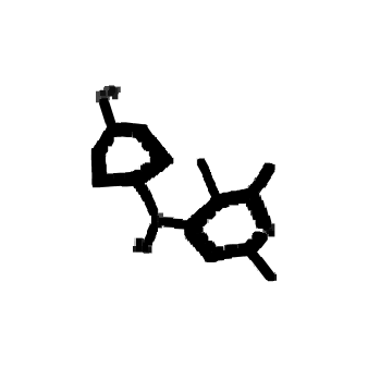 CCCc1ccc(N(c2cc(C)nc(C)c2C)C(C)CC)cc1